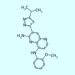 COc1ccccc1Nc1ccnc2cc(-c3nnc(C(C)C)s3)c(N)nc12